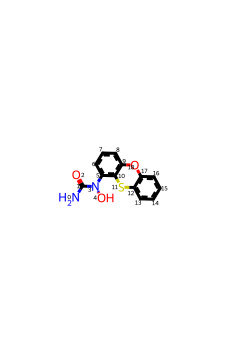 NC(=O)N(O)c1cccc2c1Sc1ccccc1O2